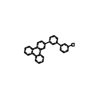 Clc1cccc(-c2cccc(-c3ccc4c5ccccc5c5ccccc5c4c3)c2)c1